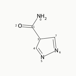 NC(=O)C1C=NN=C1